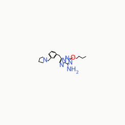 CCCCOc1nc(N)c2ncc(Cc3cccc(CN4CCCC4)c3)n2n1